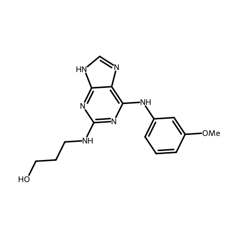 COc1cccc(Nc2nc(NCCCO)nc3[nH]cnc23)c1